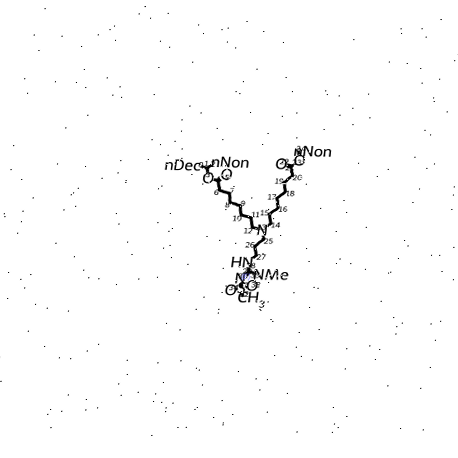 CCCCCCCCCCC(CCCCCCCCC)OC(=O)CCCCCCCN(CCCCCCCC(=O)OCCCCCCCCC)CCCN/C(=N/S(C)(=O)=O)NC